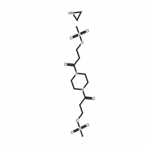 C1CN1.CS(=O)(=O)OCCC(=O)N1CCN(C(=O)CCOS(C)(=O)=O)CC1